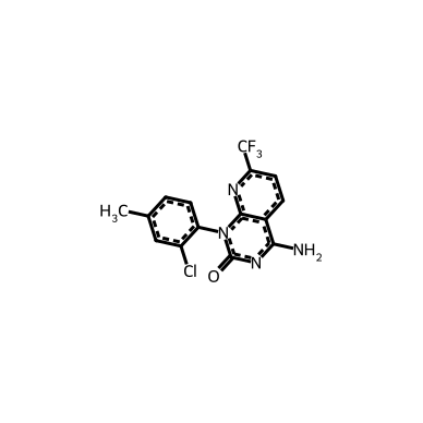 Cc1ccc(-n2c(=O)nc(N)c3ccc(C(F)(F)F)nc32)c(Cl)c1